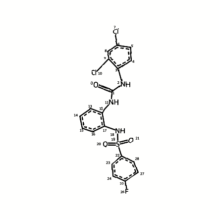 O=C(Nc1ccc(Cl)cc1Cl)Nc1ccccc1NS(=O)(=O)c1ccc(F)cc1